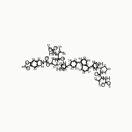 COC(=O)NC(C(=O)N1CCC[C@H]1c1nc(-c2cccc3c(-c4ccc(-c5c[nH]c([C@@H]6CC(OC(=O)N7Cc8cc9c(cc8C7)OCO9)CN6C(=O)[C@@H](NC(=O)OC)C(C)C)n5)cc4)cccc23)c[nH]1)C(C)C